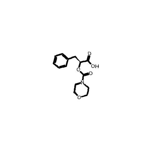 O=C(O)[C@H](Cc1ccccc1)OC(=O)N1CCOCC1